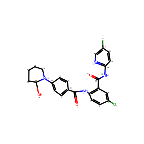 O=C(Nc1ccc(Cl)cc1C(=O)Nc1ccc(Cl)cn1)c1ccc(N2CCCCC2O)cc1